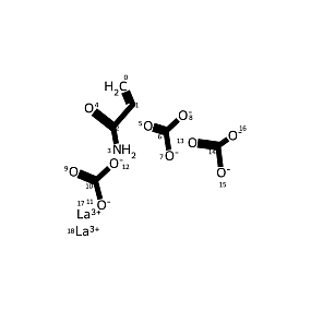 C=CC(N)=O.O=C([O-])[O-].O=C([O-])[O-].O=C([O-])[O-].[La+3].[La+3]